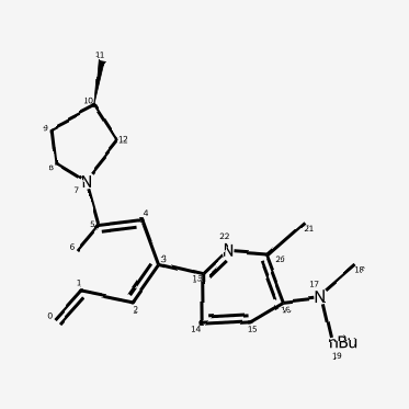 C=C/C=C(\C=C(/C)N1CC[C@@H](C)C1)c1ccc(N(C)CCCC)c(C)n1